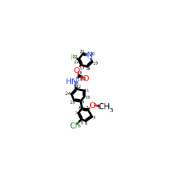 COc1ccc(Cl)cc1-c1ccc(NC(=O)Oc2ccncc2F)cc1